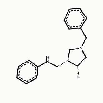 C[C@H]1CN(Cc2ccccc2)C[C@H]1CNc1ccccc1